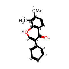 COc1ccc2c(=O)c(-c3ccccc3)coc2c1C